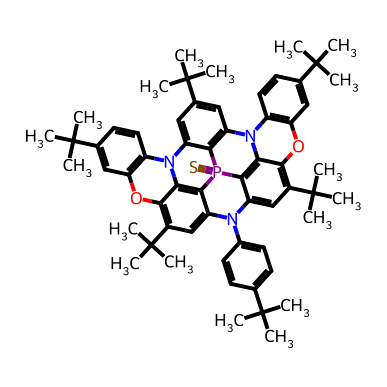 CC(C)(C)c1ccc(N2c3cc(C(C)(C)C)c4c5c3P3(=S)c6c(cc(C(C)(C)C)cc6N6c7ccc(C(C)(C)C)cc7Oc7c(C(C)(C)C)cc2c3c76)N5c2ccc(C(C)(C)C)cc2O4)cc1